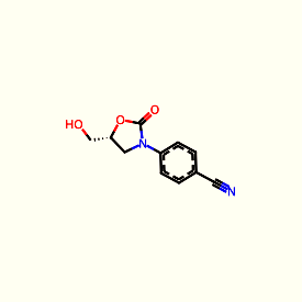 N#Cc1ccc(N2C[C@H](CO)OC2=O)cc1